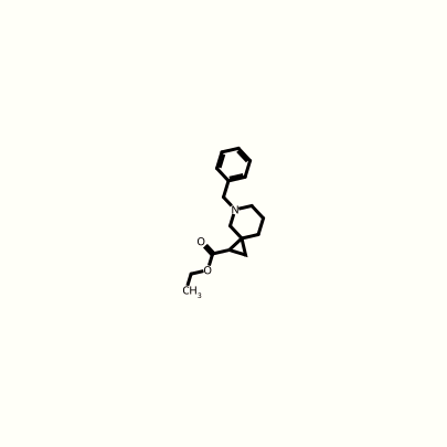 CCOC(=O)C1CC12CCCN(Cc1ccccc1)C2